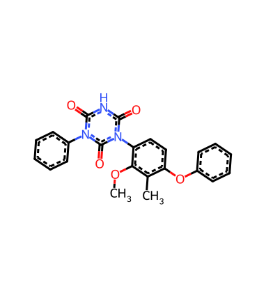 COc1c(-n2c(=O)[nH]c(=O)n(-c3ccccc3)c2=O)ccc(Oc2ccccc2)c1C